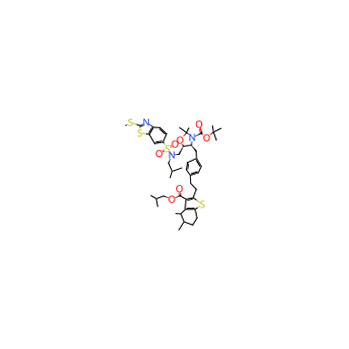 CSc1nc2ccc(S(=O)(=O)N(CC(C)C)C[C@H]3OC(C)(C)N(C(=O)OC(C)(C)C)[C@H]3Cc3ccc(CCc4sc5c(c4C(=O)OCC(C)C)C(C)C(C)CC5)cc3)cc2s1